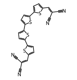 N#CC(C#N)=Cc1ccc(-c2ccc(-c3ccc(-c4ccc(C=C(C#N)C#N)s4)s3)s2)s1